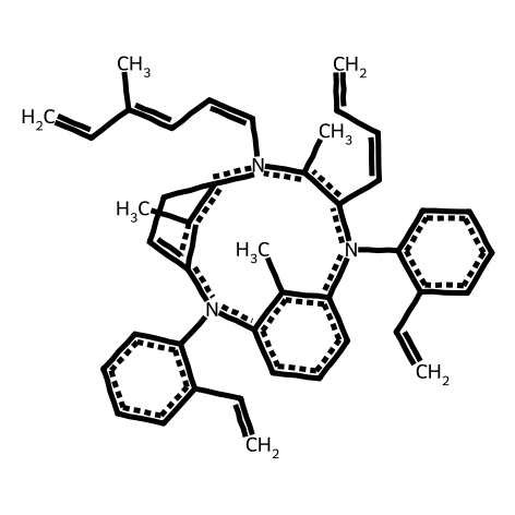 C=C/C=C\c1c(C)n(/C=C\C=C(/C)C=C)c2c(C)c(n(-c3ccccc3C=C)c3cccc(c3C)n1-c1ccccc1C=C)=CC2